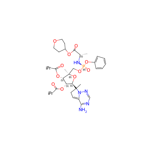 CC(C)C(=O)O[C@H]1[C@H](C2(C)CC=C3C(N)=NC=NN32)O[C@](C)(CO[P@](=O)(N[C@@H](C)C(=O)OC2CCOCC2)Oc2ccccc2)[C@H]1OC(=O)C(C)C